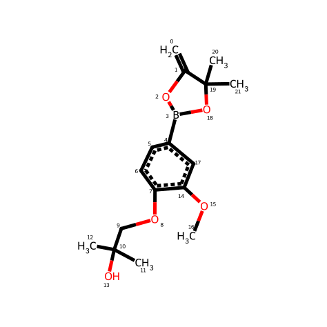 C=C1OB(c2ccc(OCC(C)(C)O)c(OC)c2)OC1(C)C